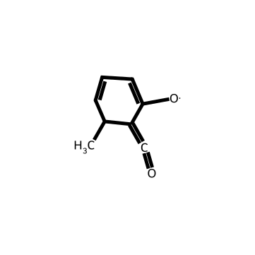 CC1C=CC=C([O])C1=C=O